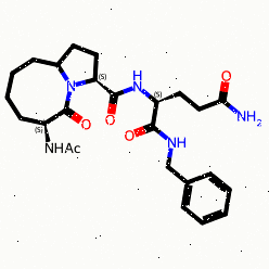 CC(=O)N[C@H]1CCCCC2CC[C@@H](C(=O)N[C@@H](CCC(N)=O)C(=O)NCc3ccccc3)N2C1=O